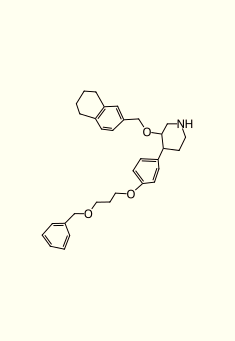 c1ccc(COCCCOc2ccc(C3CCNCC3OCc3ccc4c(c3)CCCC4)cc2)cc1